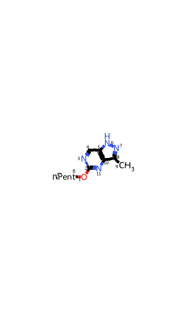 CCCCCOc1ncc2[nH]nc(C)c2n1